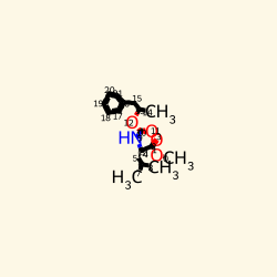 COC(=O)[C@H](CC(C)C)NC(=O)OC(C)Cc1ccccc1